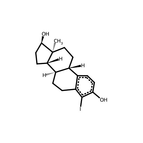 C[C@]12CC[C@@H]3c4ccc(O)c(I)c4CC[C@H]3[C@@H]1CC[C@H]2O